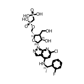 C[C@H](Nc1cc(Cl)nc2c1cnn2[C@@H]1O[C@H](COP(=O)(O)CP(=O)(O)O)C(CO)[C@H]1O)c1ccccc1F